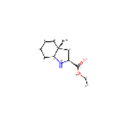 CCOC(=O)[C@@H]1C[C@H]2CCCCC2N1